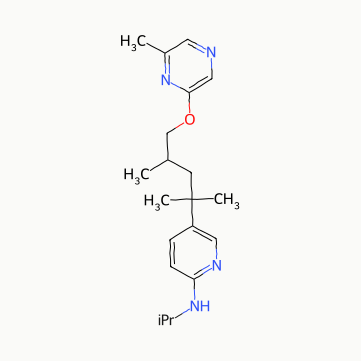 Cc1cncc(OCC(C)CC(C)(C)c2ccc(NC(C)C)nc2)n1